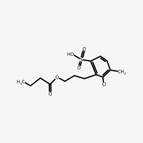 CCCC(=O)OCCCc1c(S(=O)(=O)O)ccc(C)c1Cl